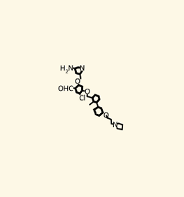 Cc1c(COc2cc(OCc3cncc(N)c3)c(C=O)cc2Cl)cccc1-c1cccc(OCCCN2CCCC2)c1